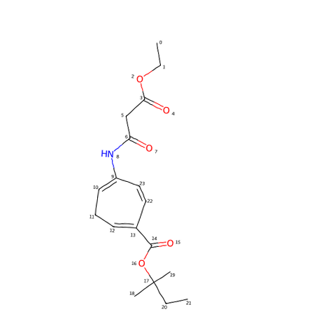 CCOC(=O)CC(=O)NC1=CCC=C(C(=O)OC(C)(C)CC)C=C1